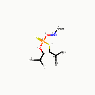 CCCCCNOP(=S)(OCC(CC)CCCC)SCC(CC)CCCC